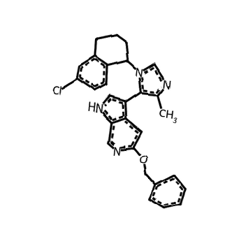 Cc1ncn(C2CCCc3cc(Cl)ccc32)c1-c1c[nH]c2cnc(OCc3ccccc3)cc12